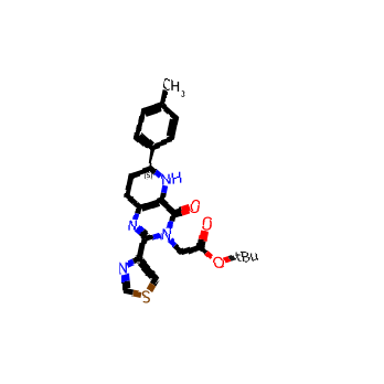 Cc1ccc([C@@H]2CCc3nc(-c4cscn4)n(CC(=O)OC(C)(C)C)c(=O)c3N2)cc1